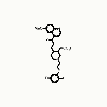 COc1ccc2nccc(C(=O)CCC3CCN(CCSc4cc(F)ccc4F)CC3CC(=O)O)c2c1